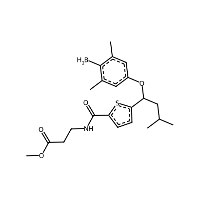 Bc1c(C)cc(OC(CC(C)C)c2ccc(C(=O)NCCC(=O)OC)s2)cc1C